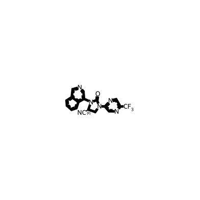 N#C[C@H]1CN(c2cnc(C(F)(F)F)cn2)C(=O)N1c1cncc2ccccc12